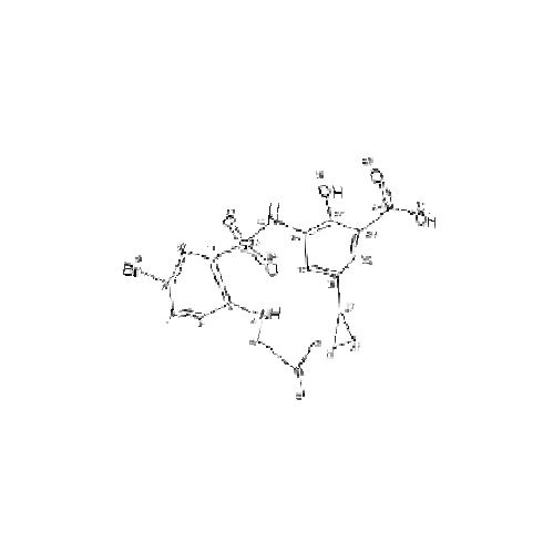 CC(C)CNc1ccc(Br)cc1S(=O)(=O)Nc1cc(C2CC2)cc(C(=O)O)c1O